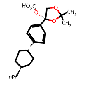 CCC[C@H]1CC[C@H](c2ccc([C@@]3(OC(=O)O)COC(C)(C)O3)cc2)CC1